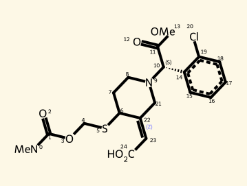 CNC(=O)OCSC1CCN([C@H](C(=O)OC)c2ccccc2Cl)C/C1=C/C(=O)O